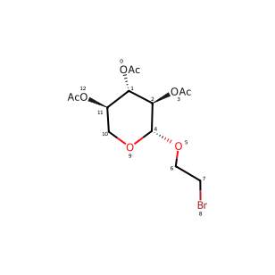 CC(=O)O[C@@H]1[C@@H](OC(C)=O)[C@H](OCCBr)OC[C@H]1OC(C)=O